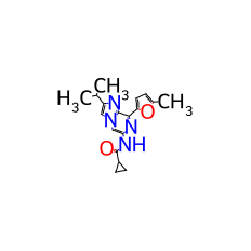 Cc1ccc(-c2nc(NC(=O)C3CC3)cn3cc(C(C)C)nc23)o1